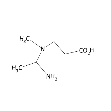 CC(N)N(C)CCC(=O)O